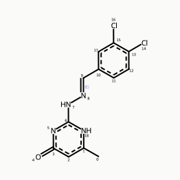 Cc1cc(=O)nc(N/N=C/c2ccc(Cl)c(Cl)c2)[nH]1